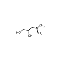 CN(N)C[C@H](O)CO